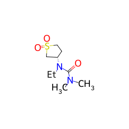 CCN(C(=O)N(C)C)[C@H]1CCS(=O)(=O)C1